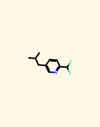 CC(C)Cc1ccc(C(F)F)nc1